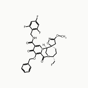 COC1=NO[C@@]2(CC[C@H](CF)N3C[C@H]2n2cc(C(=O)NCc4c(F)cc(F)cc4F)c(=O)c(OCc4ccccc4)c2C3=O)C1